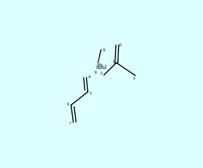 C=C(C)C.C=CC=C.CCC(C)C